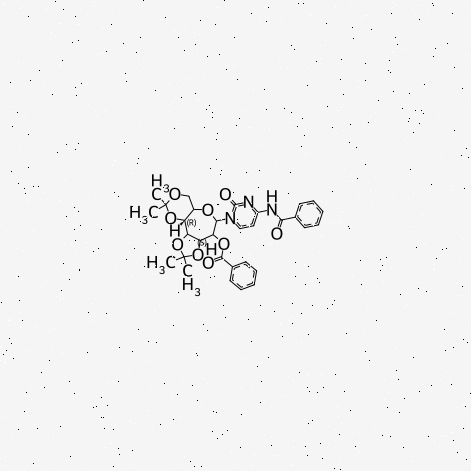 CC1(C)OCC2OC(n3ccc(NC(=O)c4ccccc4)nc3=O)C(OC(=O)c3ccccc3)[C@H]3OC(C)(C)OC3[C@@H]2O1